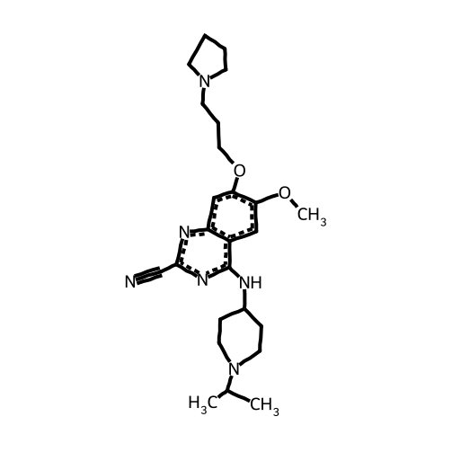 COc1cc2c(NC3CCN(C(C)C)CC3)nc(C#N)nc2cc1OCCCN1CCCC1